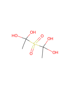 CC(O)(O)S(=O)(=O)C(C)(O)O